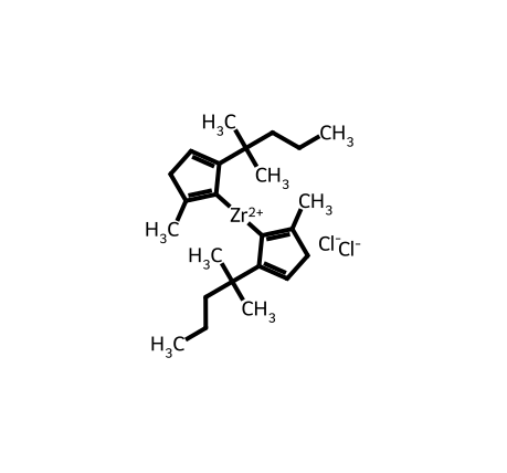 CCCC(C)(C)C1=CCC(C)=[C]1[Zr+2][C]1=C(C)CC=C1C(C)(C)CCC.[Cl-].[Cl-]